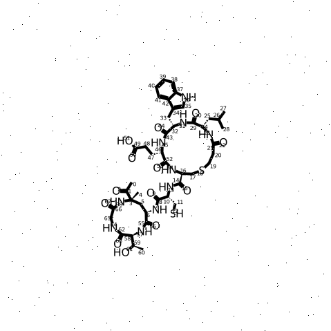 CC(=O)[C@]1(C)C[C@H](NC(=O)[C@@H](CS)NC(=O)[C@@H]2CSCCC(=O)N[C@@H](CC(C)C)C(=O)N[C@@H](Cc3c[nH]c4ccccc34)C(=O)N[C@@H](CCC(=O)O)C(=O)N2)C(=O)N[C@@H]([C@@H](C)O)C(=O)NCC(=O)N1